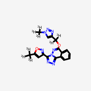 [2H]C([2H])([2H])c1cc(-c2nnc3c4ccccc4c(OC([2H])([2H])c4cn(C([2H])([2H])[2H])nn4)nn23)no1